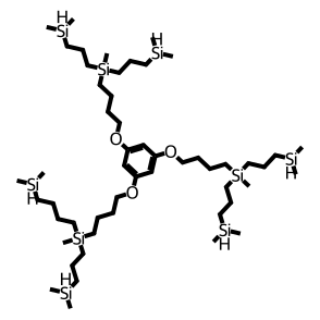 C[SiH](C)CCCC[Si](C)(CCCCOc1cc(OCCCC[Si](C)(CCC[SiH](C)C)CCC[SiH](C)C)cc(OCCCC[Si](C)(CCC[SiH](C)C)CCC[SiH](C)C)c1)CCC[SiH](C)C